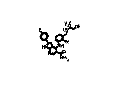 CCc1c(CNC(C)CO)cccc1Nc1c(C(N)=O)cnc2[nH]c(-c3ccc(F)cc3)cc12